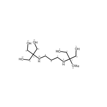 COC(CO)(CO)NCCCNC(CO)(CO)CO